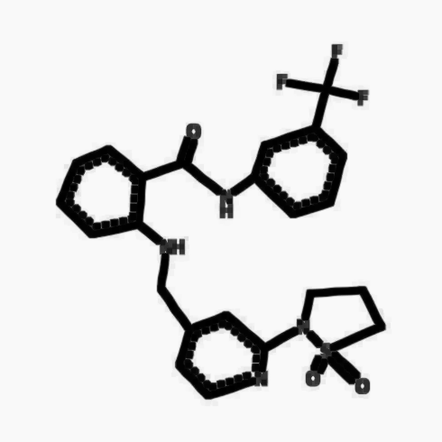 O=C(Nc1cccc(C(F)(F)F)c1)c1ccccc1NCc1ccnc(N2CCCS2(=O)=O)c1